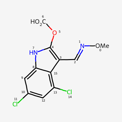 CON=Cc1c(OC(=O)O)[nH]c2cc(Cl)cc(Cl)c12